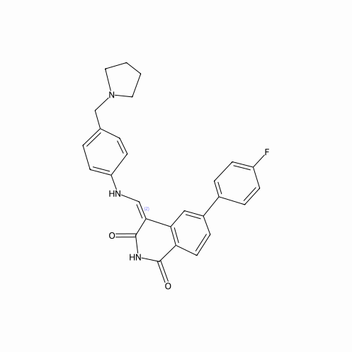 O=C1NC(=O)c2ccc(-c3ccc(F)cc3)cc2/C1=C/Nc1ccc(CN2CCCC2)cc1